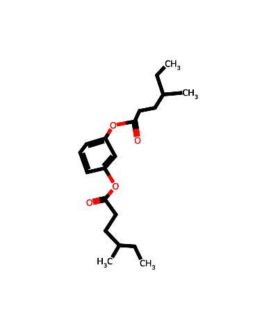 CCC(C)CCC(=O)Oc1cccc(OC(=O)CCC(C)CC)c1